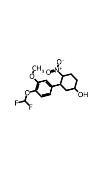 COc1cc(C2CC(O)CCC2[N+](=O)[O-])ccc1OC(F)F